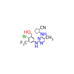 Cc1cnc(Nc2cc(CO)c(Br)c(C(F)(F)F)c2)nc1NC1CCCC1C#N